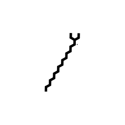 CCCCCCCCCCCCCC[CH]C(CC)CC